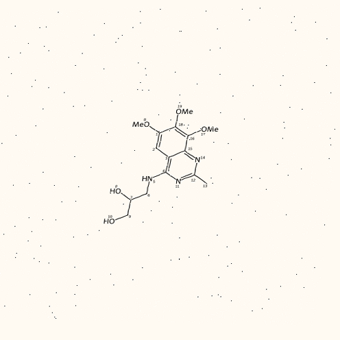 COc1cc2c(NCC(O)CO)nc(C)nc2c(OC)c1OC